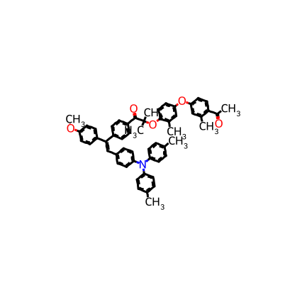 COc1ccc(C(=Cc2ccc(N(c3ccc(C)cc3)c3ccc(C)cc3)cc2)c2ccc(C(=O)C(C)(C)Oc3ccc(Oc4ccc(C(C)=O)c(C)c4)cc3C)cc2)cc1